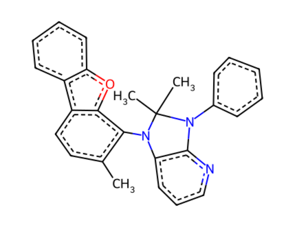 Cc1ccc2c(oc3ccccc32)c1N1c2cccnc2N(c2ccccc2)C1(C)C